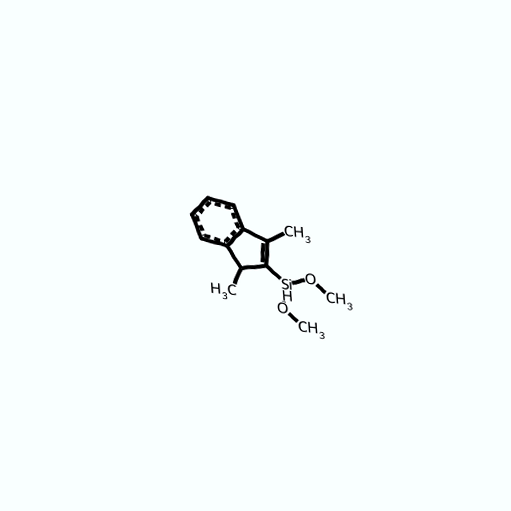 CO[SiH](OC)C1=C(C)c2ccccc2C1C